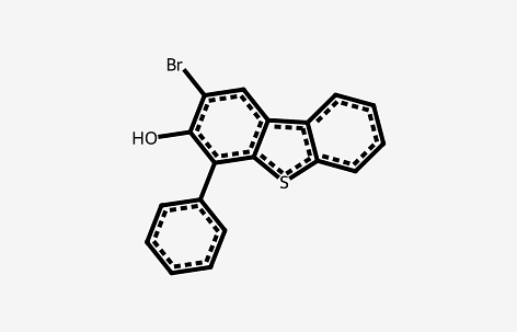 Oc1c(Br)cc2c(sc3ccccc32)c1-c1ccccc1